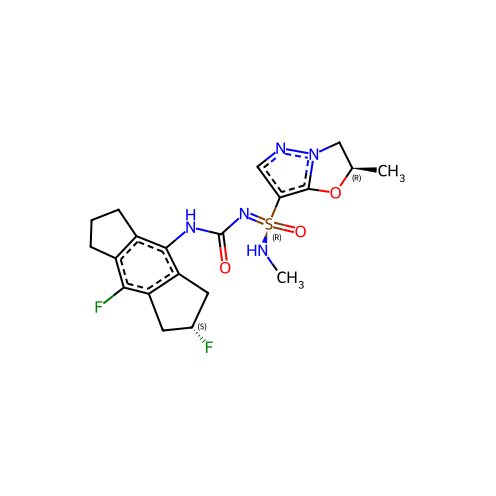 CN[S@@](=O)(=NC(=O)Nc1c2c(c(F)c3c1C[C@H](F)C3)CCC2)c1cnn2c1O[C@H](C)C2